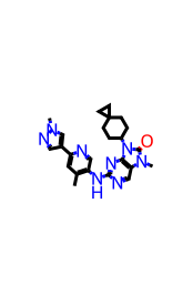 Cc1cc(-c2cnn(C)c2)ncc1Nc1ncc2c(n1)n(C1CCC3(CC1)CC3)c(=O)n2C